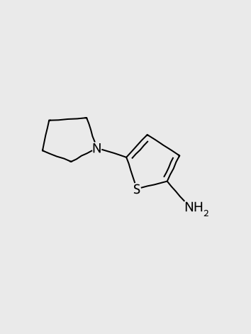 Nc1ccc(N2CCCC2)s1